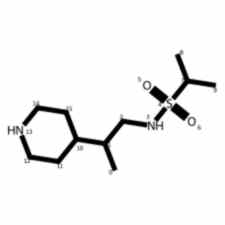 CC(CNS(=O)(=O)C(C)C)C1CCNCC1